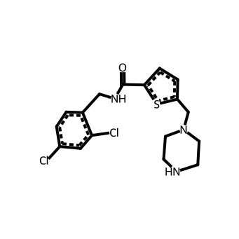 O=C(NCc1ccc(Cl)cc1Cl)c1ccc(CN2CCNCC2)s1